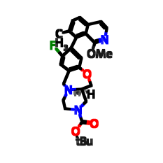 COc1nccc2ccc(C)c(-c3cc4c(cc3F)CN3CCN(C(=O)OC(C)(C)C)C[C@@H]3CO4)c12